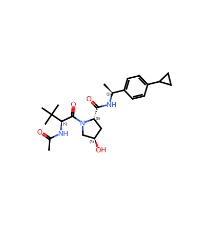 CC(=O)N[C@H](C(=O)N1C[C@H](O)C[C@H]1C(=O)N[C@@H](C)c1ccc(C2CC2)cc1)C(C)(C)C